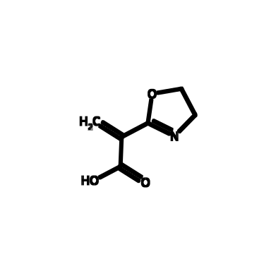 C=C(C(=O)O)C1=NCCO1